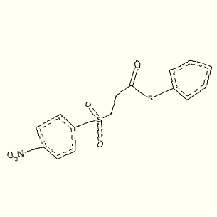 O=C(CCS(=O)(=O)c1ccc([N+](=O)[O-])cc1)Sc1ccccc1